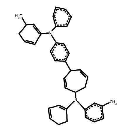 Cc1cccc(N(C2=CC=CCC2)C2C=CC(c3ccc(N(C4=CC(C)CC=C4)c4ccccc4)cc3)C=CC2)c1